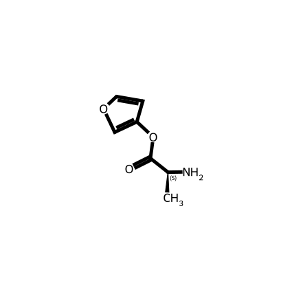 C[C@H](N)C(=O)Oc1ccoc1